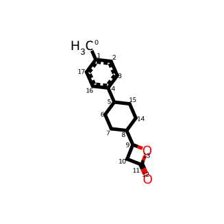 Cc1ccc(C2CCC(C3CC(=O)O3)CC2)cc1